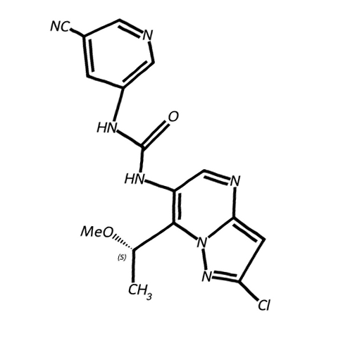 CO[C@@H](C)c1c(NC(=O)Nc2cncc(C#N)c2)cnc2cc(Cl)nn12